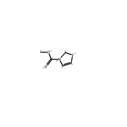 COC(=O)N1[C]=CSC1